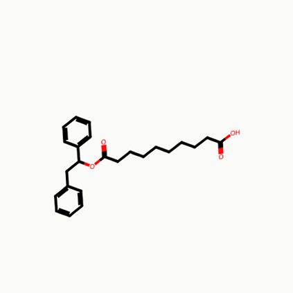 O=C(O)CCCCCCCCC(=O)OC(Cc1ccccc1)c1ccccc1